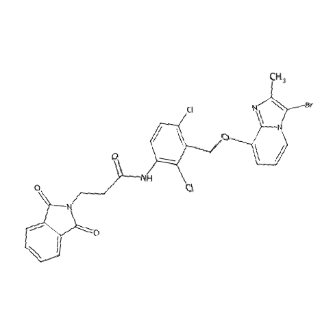 Cc1nc2c(OCc3c(Cl)ccc(NC(=O)CCN4C(=O)c5ccccc5C4=O)c3Cl)cccn2c1Br